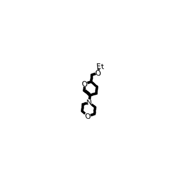 CCOCC1CCC(N2CCOCC2)=CO1